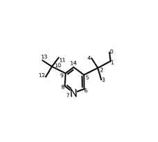 CCC(C)(C)c1cncc(C(C)(C)C)c1